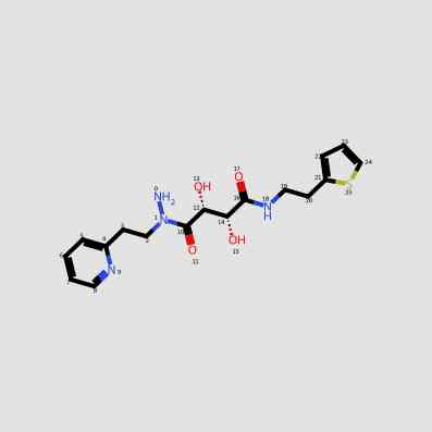 NN(CCc1ccccn1)C(=O)[C@H](O)[C@@H](O)C(=O)NCCc1cccs1